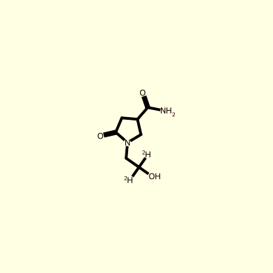 [2H]C([2H])(O)CN1CC(C(N)=O)CC1=O